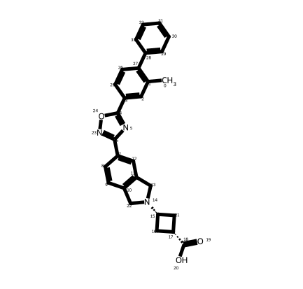 Cc1cc(-c2nc(-c3ccc4c(c3)CN([C@H]3C[C@@H](C(=O)O)C3)C4)no2)ccc1-c1ccccc1